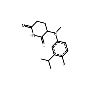 CC(C)c1cc(N(C)C2CCC(=O)NC2=O)ccc1F